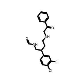 O=CNCC(CCNCC(=O)c1ccccc1)c1ccc(Cl)c(Cl)c1